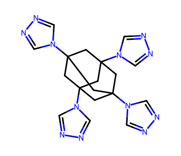 c1nncn1C12CC3(n4cnnc4)CC(n4cnnc4)(C1)CC(n1cnnc1)(C2)C3